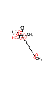 COC(=O)CCCCCCCCCCCO[C@H]1O[C@H](CO)[C@@H](OC(C)=O)[C@H](OCc2ccccc2)[C@H]1OC(C)=O